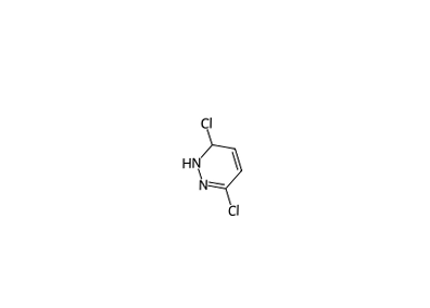 ClC1=NNC(Cl)C=C1